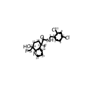 O=C(NCc1ccc(Cl)cc1Cl)[C@]1(F)CC[C@@](O)(CF)c2ncccc21